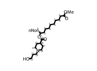 CCCCCCCCCC(CCCCCCCCC(=O)OC)OC(=O)C1CCN(CCCO)CC1